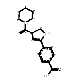 O=C(O)c1ccc(C2=CC(C(=O)N3CCCCC3)CS2)cc1